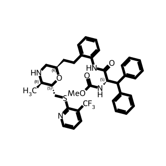 COC(=O)N[C@H](C(=O)Nc1ccccc1CC[C@@H]1CN[C@H](C)[C@@H](CSc2ncccc2C(F)(F)F)O1)C(c1ccccc1)c1ccccc1